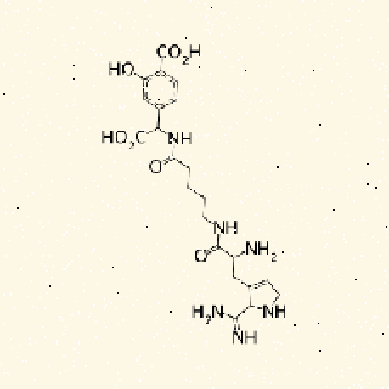 N=C(N)C1NCC=C1CC(N)C(=O)NCCCCC(=O)NC(C(=O)O)c1ccc(C(=O)O)c(O)c1